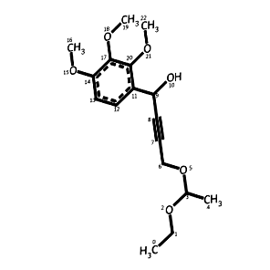 CCOC(C)OCC#CC(O)c1ccc(OC)c(OC)c1OC